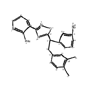 CNc1ncccc1-c1noc(C(Cc2ccc(C)c(C)c2)c2cccc(N=O)c2)n1